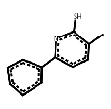 Cc1ccc(-c2ccccc2)nc1S